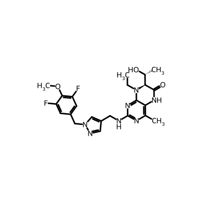 CCN1c2nc(NCc3cnn(Cc4cc(F)c(OC)c(F)c4)c3)nc(C)c2NC(=O)[C@@H]1[C@@H](C)O